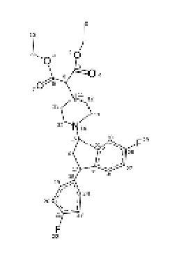 CCOC(=O)C(C(=O)OCC)N1CCN(C2CC(c3ccc(F)cc3)c3ccc(F)cc32)CC1